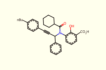 CCCCc1ccc(C#CC(c2ccccc2)N(C(=O)C2CCCCC2)c2cccc(C(=O)O)c2O)cc1